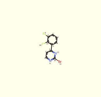 Fc1cccc(-c2ccnc(Br)n2)c1F